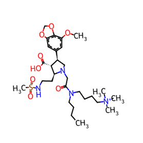 CCCCN(CCCC[N+](C)(C)C)C(=O)CN1C[C@H](c2cc(OC)c3c(c2)OCO3)[C@@H](C(=O)O)[C@@H]1CCNS(C)(=O)=O